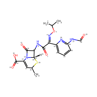 CC(C)ON=C(C(=O)NC1C(=O)N2C(C(=O)O)=CC(C)S[C@@H]12)c1cccc(NC=O)n1